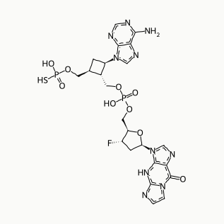 Nc1ncnc2c1ncn2[C@@H]1C[C@H](COP(=O)(O)S)[C@H]1COP(=O)(O)OC[C@H]1O[C@@H](n2cnc3c(=O)n4ccnc4[nH]c32)C[C@@H]1F